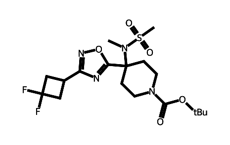 CN(C1(c2nc(C3CC(F)(F)C3)no2)CCN(C(=O)OC(C)(C)C)CC1)S(C)(=O)=O